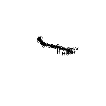 CC(=O)N[C@@H]1[C@@H](O)[C@@H](O)[C@@H](CO)O[C@@H]1CCCOCCOCCNC(=O)CCOCCOCCOCCOCCC(=O)N1CCN(CCN2C(=O)C=CC2=O)CC1